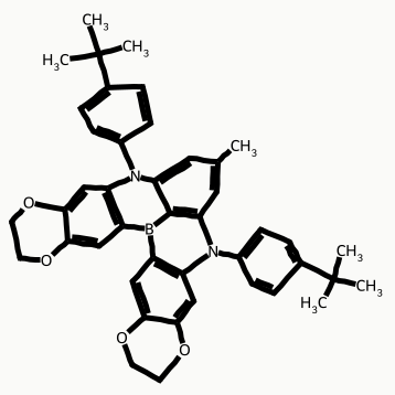 Cc1cc2c3c(c1)N(c1ccc(C(C)(C)C)cc1)c1cc4c(cc1B3c1cc3c(cc1N2c1ccc(C(C)(C)C)cc1)OCCO3)OCCO4